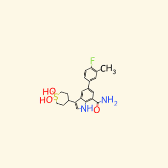 Cc1cc(-c2cc(C(N)=O)c3[nH]cc(C4CCS(O)(O)CC4)c3c2)ccc1F